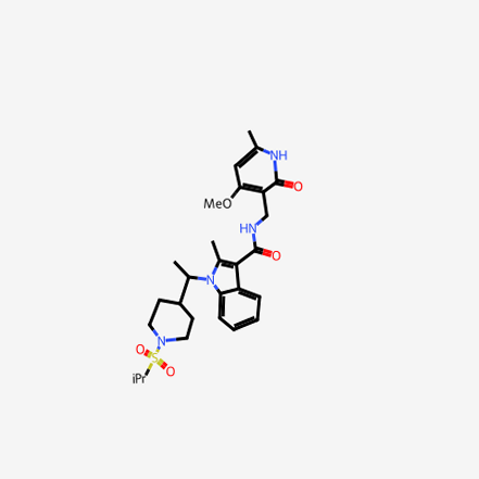 COc1cc(C)[nH]c(=O)c1CNC(=O)c1c(C)n(C(C)C2CCN(S(=O)(=O)C(C)C)CC2)c2ccccc12